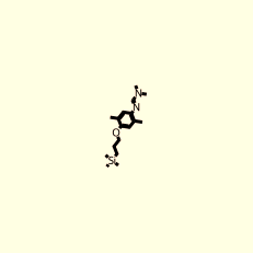 Cc1cc(OCCC[Si](C)(C)C)c(C)cc1N=CN(C)C